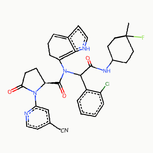 CC1(F)CCC(NC(=O)C(c2ccccc2Cl)N(C(=O)[C@@H]2CCC(=O)N2c2cc(C#N)ccn2)C2=c3[nH]ccc3=CCC2)CC1